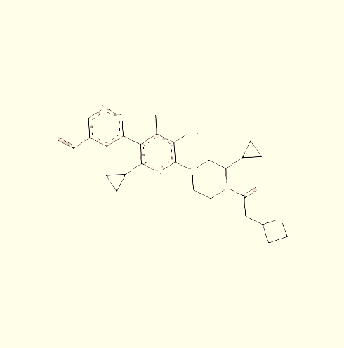 C=Cc1cnnc(-c2c(C3CC3)nc(N3CCN(C(=O)CC4CCO4)C(C4CC4)C3)c(C#N)c2C)c1